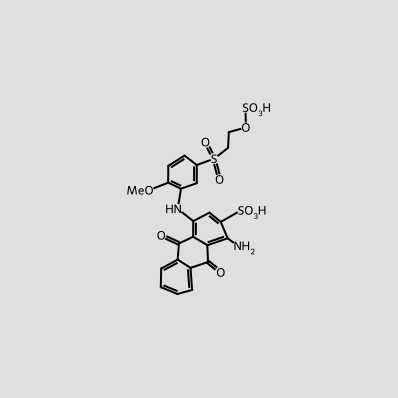 COc1ccc(S(=O)(=O)CCOS(=O)(=O)O)cc1Nc1cc(S(=O)(=O)O)c(N)c2c1C(=O)c1ccccc1C2=O